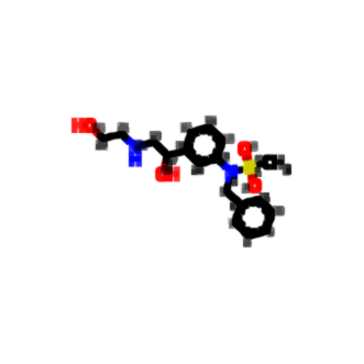 CS(=O)(=O)N(Cc1ccccc1)c1cccc(C(O)CNCCO)c1